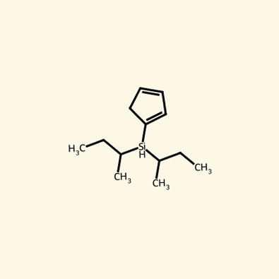 CCC(C)[SiH](C1=CC=CC1)C(C)CC